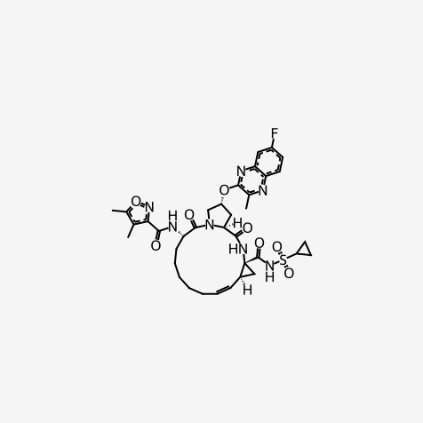 Cc1nc2ccc(F)cc2nc1O[C@@H]1C[C@H]2C(=O)N[C@]3(C(=O)NS(=O)(=O)C4CC4)C[C@H]3C=CCCCCC[C@H](NC(=O)c3noc(C)c3C)C(=O)N2C1